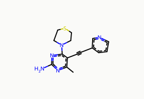 Cc1nc(N)nc(N2CCSCC2)c1C#Cc1cccnc1